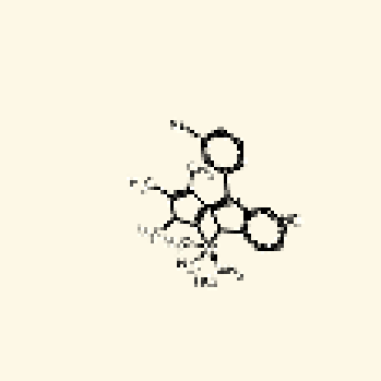 CCc1cccc(C2=C[CH]([Zr]([CH3])([CH3])(=[SiH2])[C]3=C(C)C(C)=C(C)C3C)c3ccccc32)c1.Cl.Cl